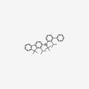 CC(C)c1c(-c2ccccc2)cccc1N(c1ccc2c(c1C(C)C)C(C)(C)c1ccccc1-2)C(C)(C)C